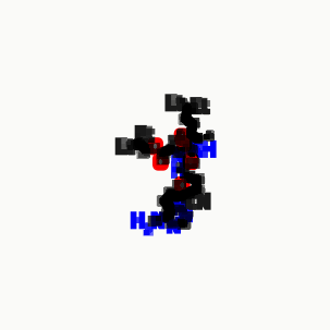 CCC(CC)CCC(=O)[C@H](C)NP(=O)(N[C@@H](C)C(=O)OCC(CC)CC)OC[C@@H]1CC[C@](C#N)(c2ccc3c(N)ncnn23)O1